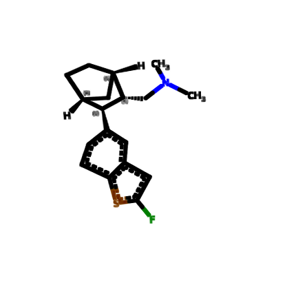 CN(C)C[C@H]1[C@H]2CC[C@H](C2)[C@@H]1c1ccc2sc(F)cc2c1